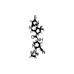 CC1(C)C[C@@H](C(=O)Nc2cnc(-n3nccn3)c(C#N)c2)c2cnc3cc(F)nn3c21